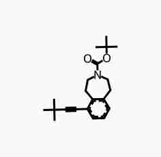 CC(C)(C)C#Cc1cccc2c1CCN(C(=O)OC(C)(C)C)CC2